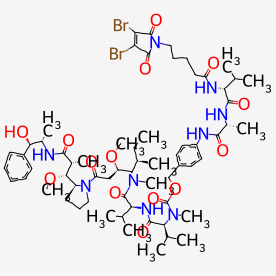 CC[C@@H](C)[C@@H]([C@@H](CC(=O)N1CCC[C@H]1[C@H](OC)[C@@H](C)C(=O)N[C@@H](C)[C@H](O)c1ccccc1)OC)N(C)C(=O)[C@@H](NC(=O)[C@H](C(C)C)N(C)C(=O)OCc1ccc(NC(=O)[C@@H](C)NC(=O)[C@H](NC(=O)CCCCN2C(=O)C(Br)=C(Br)C2=O)C(C)C)cc1)C(C)C